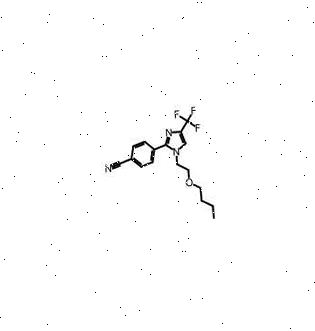 CCCCOCCn1cc(C(F)(F)F)nc1-c1ccc(C#N)cc1